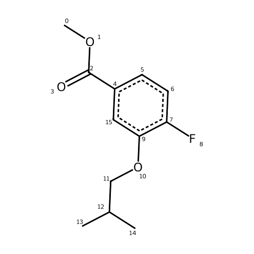 COC(=O)c1ccc(F)c(OCC(C)C)c1